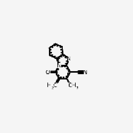 C=c1c(C)c(C#N)c2nc3ccccc3n2c1=O